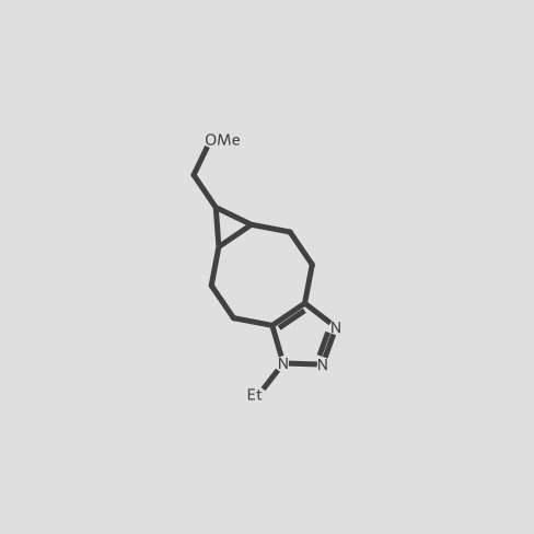 CCn1nnc2c1CCC1C(CC2)C1COC